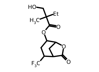 CCC(C)(CO)C(=O)OC1CC(C(F)(F)F)C2CC1OC2=O